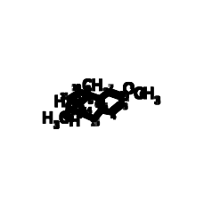 COc1ccc2c(c1)[C@@]1(C)CCN(C)[C@@H](C2)C1C